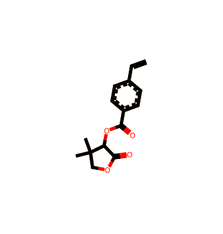 C=Cc1ccc(C(=O)OC2C(=O)OCC2(C)C)cc1